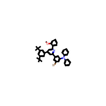 COc1ccccc1-c1cc(-c2cc(C(C)(C)C)cc(C(C)(C)C)c2)cc(-c2cc(Br)cc(N(c3ccccc3)c3ccccc3)c2)n1